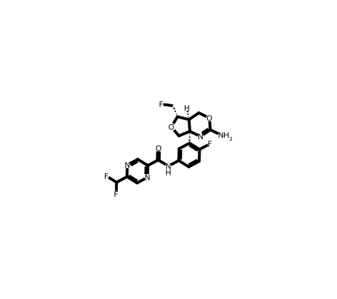 NC1=N[C@@]2(c3cc(NC(=O)c4cnc(C(F)F)cn4)ccc3F)CO[C@H](CF)[C@H]2CO1